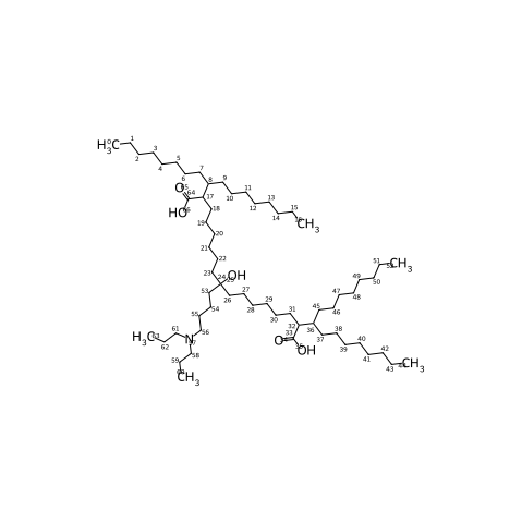 CCCCCCCCC(CCCCCCCC)C(CCCCCCC(O)(CCCCCCC(C(=O)O)C(CCCCCCCC)CCCCCCCC)CCCCN(CCC)CCC)C(=O)O